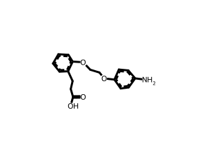 Nc1ccc(OCCOc2ccccc2CCC(=O)O)cc1